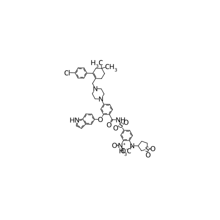 CN(c1ccc(S(=O)(=O)NC(=O)c2ccc(N3CCN(CC4=C(c5ccc(Cl)cc5)CC(C)(C)CC4)CC3)cc2Oc2ccc3[nH]ccc3c2)cc1[N+](=O)[O-])C1CCS(=O)(=O)C1